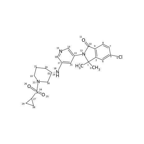 CC1(C)c2cc(Cl)ccc2C(=O)N1c1cncc(N[C@H]2CCCN(S(=O)(=O)C3CC3)C2)c1